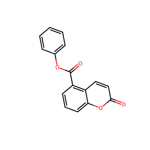 O=C(Oc1ccccc1)c1cccc2oc(=O)ccc12